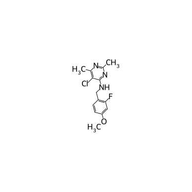 COc1ccc(CNc2nc(C)nc(C)c2Cl)c(F)c1